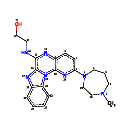 CN1CCCN(c2ccc3nc(NCCO)c4nc5ccccc5n4c3n2)CC1